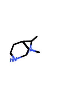 CC1C2CCNC(C2)N1C